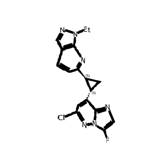 CCn1ncc2ccc([C@H]3C[C@@H]3c3cc(Cl)nn4c(F)cnc34)nc21